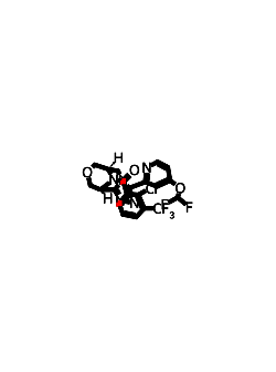 O=C(c1cccc(C(F)(F)F)c1Cl)N1[C@H]2COC[C@@H]1c1nnc(-c3cc(OC(F)F)ccn3)n1C2